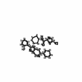 O=C(N[C@H]1CCC[C@@H](n2c(-c3ccccc3F)nc3cnc(-c4ccccc4)cc32)C1)c1ncc(Cl)s1